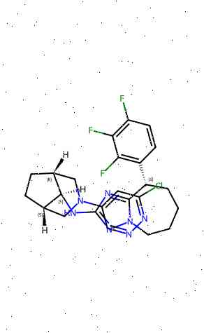 Fc1ccc([C@@H]2CCCCn3nc(N[C@@H]4[C@@H]5CC[C@H]4CN(c4cnnc(Cl)c4)C5)nc32)c(F)c1F